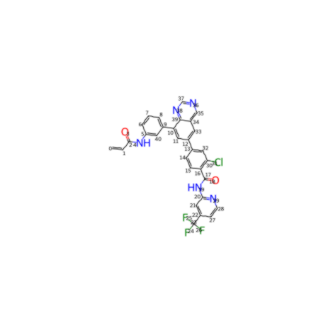 C=CC(=O)Nc1cccc(-c2cc(-c3ccc(C(=O)Nc4cc(C(F)(F)F)ccn4)c(Cl)c3)cc3cncnc23)c1